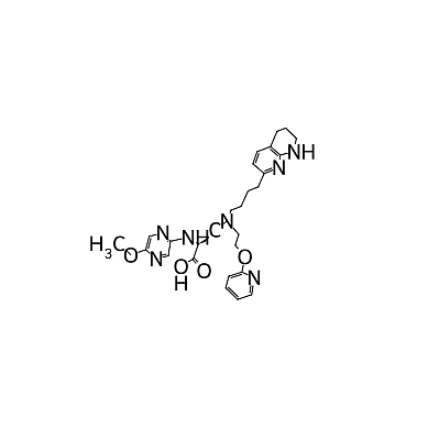 COc1cnc(N[C@@H](CCN(CCCCc2ccc3c(n2)NCCC3)CCOc2ccccn2)C(=O)O)cn1